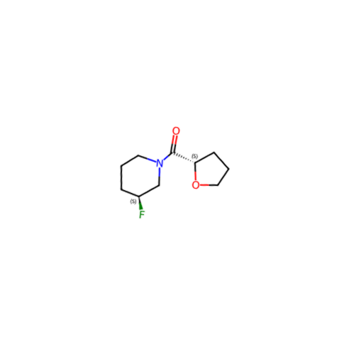 O=C([C@@H]1CCCO1)N1CCC[C@H](F)C1